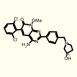 COn1c(=O)c(-c2c(Cl)cccc2Cl)cc2c(N)nc(-c3ccc(CN4CC[C@@H](O)C4)cc3)nc21